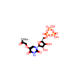 COC(=O)COc1cn([C@@H]2O[C@H](COP3(=O)OP(=O)(O)OP(=O)(O)O3)C(O)[C@@H]2O)c(=O)[nH]c1=O